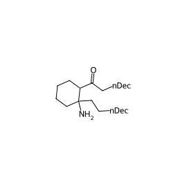 CCCCCCCCCCCCC1(N)CCCCC1C(=O)CCCCCCCCCCC